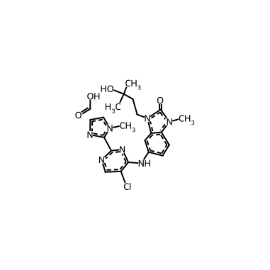 Cn1ccnc1-c1ncc(Cl)c(Nc2ccc3c(c2)n(CCC(C)(C)O)c(=O)n3C)n1.O=CO